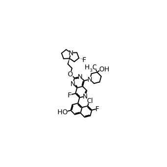 C[C@@]1(O)CCCN(c2nc(OCC[C@@]34CCCN3C[C@H](F)C4)nc3c(F)c(-c4cc(O)cc5ccc(F)c(Cl)c45)ncc23)C1